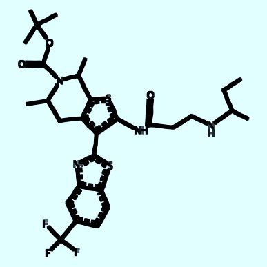 CCC(C)NCCC(=O)Nc1sc2c(c1-c1nc3cc(C(F)(F)F)ccc3s1)CC(C)N(C(=O)OC(C)(C)C)C2C